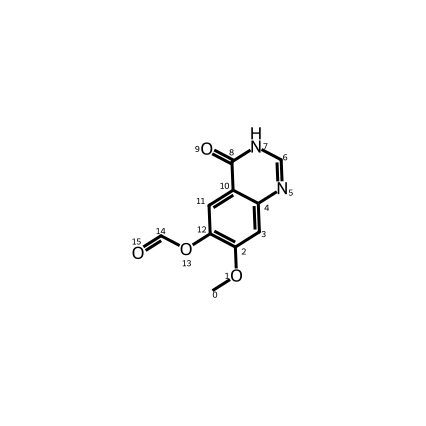 COc1cc2nc[nH]c(=O)c2cc1OC=O